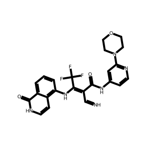 N=C/C(C(=O)Nc1ccnc(N2CCOCC2)c1)=C(\Nc1cccc2c(=O)[nH]ccc12)C(F)(F)F